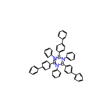 c1ccc(-c2ccc(B3N(c4ccccc4)B(c4ccc(-c5ccccc5)cc4)N(c4ccccc4)B(c4ccc(-c5ccccc5)cc4)N3c3ccccc3)cc2)cc1